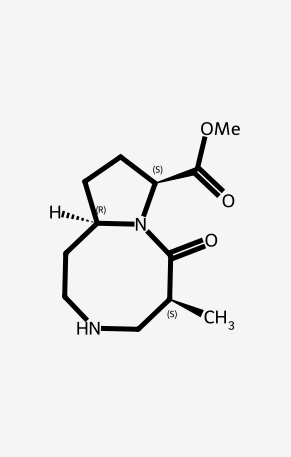 COC(=O)[C@@H]1CC[C@@H]2CCNC[C@H](C)C(=O)N21